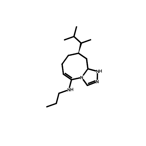 CCCNC1=CCC[C@@H](C(C)C(C)C)CC2NN=CN12